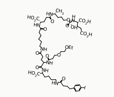 CCOCCOCCC(=O)NC(CCC(=O)NCCCCCC(=O)N[C@@H](CCC(=O)N[C@H](C)CCCOP(=O)(O)N[C@@H](CCC(=O)O)C(=O)O)C(=O)O)C(=O)NC(CCCCNC(=O)CCCc1ccc(I)cc1)C(=O)O